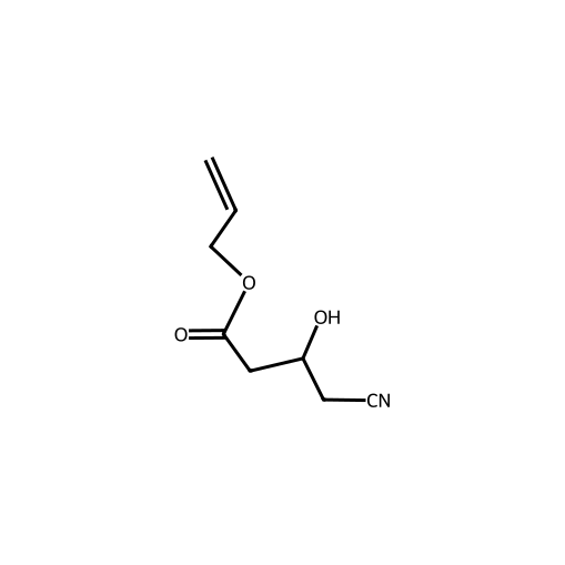 C=CCOC(=O)CC(O)CC#N